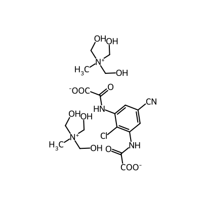 C[N+](CO)(CO)CO.C[N+](CO)(CO)CO.N#Cc1cc(NC(=O)C(=O)[O-])c(Cl)c(NC(=O)C(=O)[O-])c1